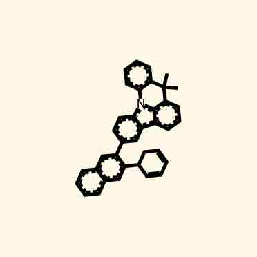 CC1(C)c2ccccc2-n2c3ccc(-c4cc5ccccc5cc4C4C=CC=CC4)cc3c3cccc1c32